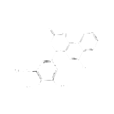 COc1cc(C2OC(=O)Nc3c2cc(Br)c2ccccc32)cc(OC)c1OC